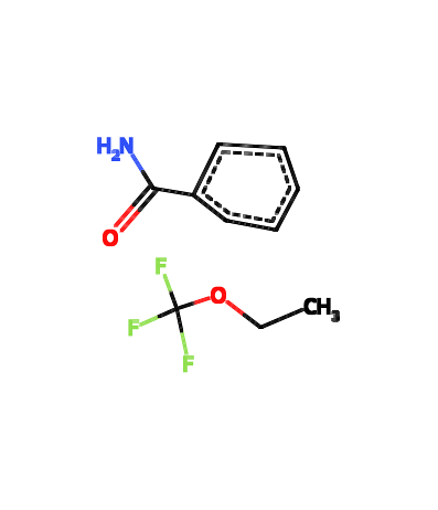 CCOC(F)(F)F.NC(=O)c1ccccc1